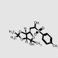 Cc1ccc(S(=O)(=O)C(O)C[C@H]2OC(C)(O)[C@@H]3OC(C)(C)O[C@@H]32)cc1